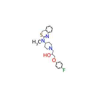 CN(C1=Nc2ccccc2CS1)C1CCN(CC(O)COc2ccc(F)cc2)CC1